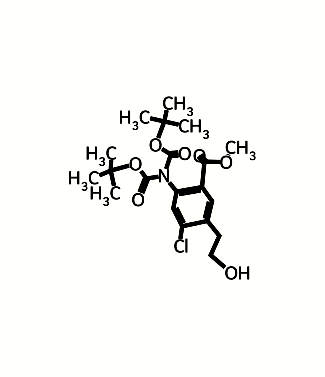 COC(=O)c1cc(CCO)c(Cl)cc1N(C(=O)OC(C)(C)C)C(=O)OC(C)(C)C